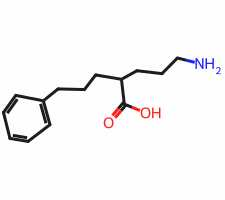 NCCCC(CCCc1ccccc1)C(=O)O